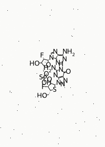 Nc1nc2c(nnn2[C@@H]2S[C@H](CO)[C@@H](F)[C@H]2OP(O)(=S)OC[C@H]2O[C@@H](n3cnc4c(N)ncnc43)[C@@H](F)[C@@H]2O)c(=O)[nH]1